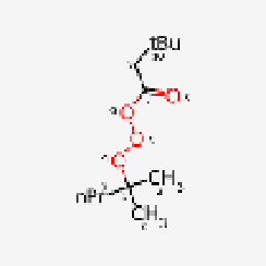 CCCC(C)(C)OOOC(=O)CC(C)(C)C